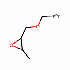 CCCCOCC1OC1C